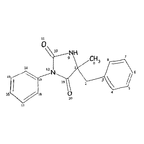 CC1(Cc2ccccc2)NC(=O)N(c2ccccc2)C1=O